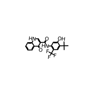 CC(C)(C)c1cc(C(F)(F)F)c(NC(=O)c2c[nH]c3ccccc3c2=O)cc1O